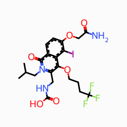 CC(C)Cn1c(CNC(=O)O)c(OCCCC(F)(F)F)c2c(I)c(OCC(N)=O)ccc2c1=O